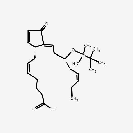 CC/C=C\C[C@H](C/C=C1/C(=O)C=C[C@H]1C/C=C\CCCC(=O)O)O[Si](C)(C)C(C)(C)C